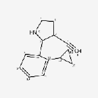 C#CC1CCNC1c1ccccc1C1CC1